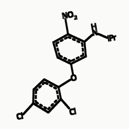 CC(C)Nc1cc(Oc2ccc(Cl)cc2Cl)ccc1[N+](=O)[O-]